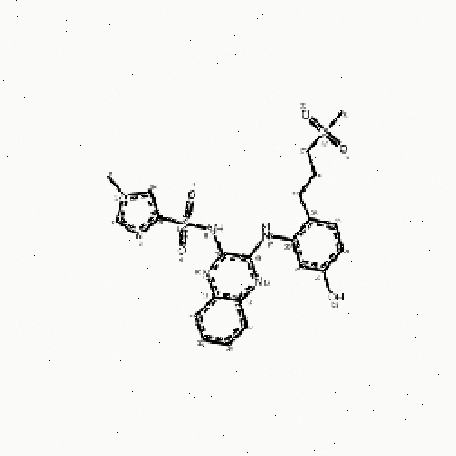 Cn1cnc(S(=O)(=O)Nc2nc3ccccc3nc2Nc2cc(O)ccc2CCCS(C)(=O)=O)c1